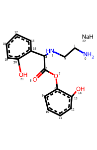 NCCNC(C(=O)Oc1ccccc1O)c1ccccc1O.[NaH]